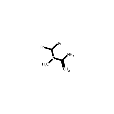 C=C(N)N(C)C(C(C)C)C(C)C